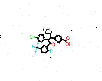 CCCC(c1ccc(C(=O)O)cc1)C(C(=O)c1cc(C(F)(F)F)ccc1F)c1ccc(Cl)cc1